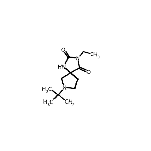 CCN1C(=O)NC2(CCN(C(C)(C)C)C2)C1=O